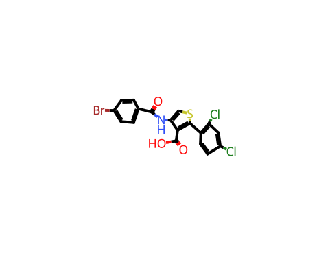 O=C(Nc1csc(-c2ccc(Cl)cc2Cl)c1C(=O)O)c1ccc(Br)cc1